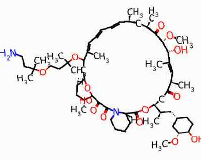 CO[C@@H]1C[C@H](C[C@@H](C)[C@@H]2CC(=O)[C@H](C)/C=C(\C)[C@@H](O)[C@@H](OC)C(=O)[C@H](C)C[C@H](C)/C=C/C=C/C=C(\C)C(OC(C)(C)CCOC(C)(C)CCN)C[C@@H]3CC[C@@H](C)[C@@](O)(O3)C(=O)C(=O)N3CCCC[C@H]3C(=O)O2)CC[C@H]1O